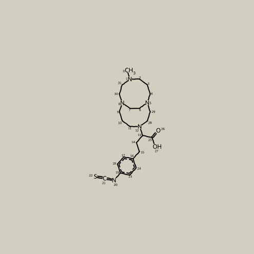 CN1CCCN2CCN(CCCN(C(CCc3ccc(N=C=S)cc3)C(=O)O)CC2)CC1